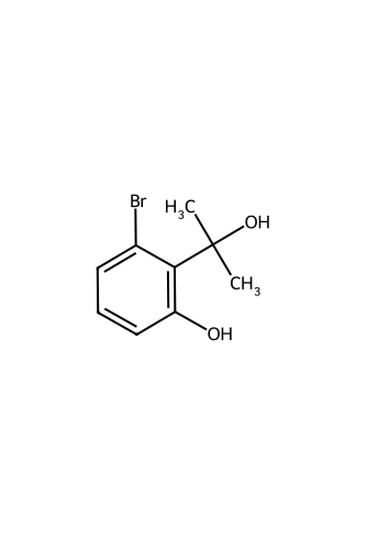 CC(C)(O)c1c(O)cccc1Br